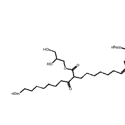 CCCCC/C=C\C/C=C\CCCCCCC(C(=O)CCCCCCCCCCCCCCCCC)C(=O)OCC(O)CO